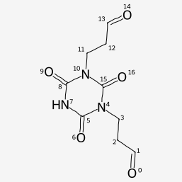 O=CCCn1c(=O)[nH]c(=O)n(CCC=O)c1=O